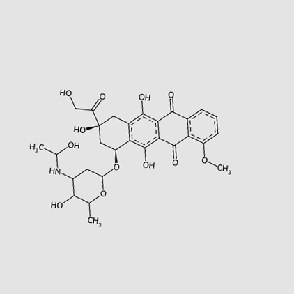 [CH2]C(O)NC1CC(O[C@H]2C[C@](O)(C(=O)CO)Cc3c(O)c4c(c(O)c32)C(=O)c2c(OC)cccc2C4=O)OC(C)C1O